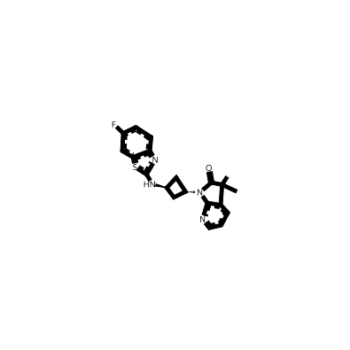 CC1(C)C(=O)N([C@H]2C[C@H](Nc3nc4ccc(F)cc4s3)C2)c2ncccc21